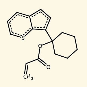 C=CC(=O)OC1(c2ccc3cccsc2-3)CCCCC1